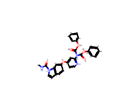 CNC(=O)n1ccc2ccc(Oc3ccnc(N(C(=O)Oc4ccccc4)C(=O)Oc4ccccc4)c3)cc21